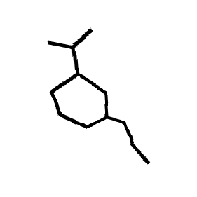 CCCC1CCCC(C(C)C)C1